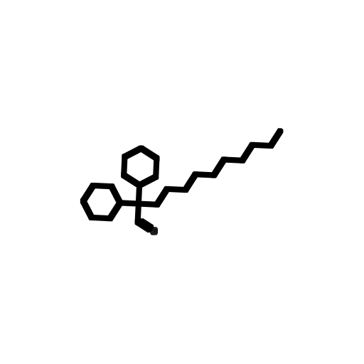 CCCCCCCCCCC(C=O)(C1CCCCC1)C1CCCCC1